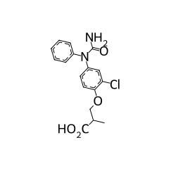 CC(COc1ccc(N(C(N)=O)c2ccccc2)cc1Cl)C(=O)O